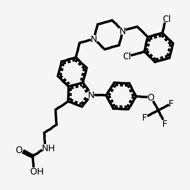 O=C(O)NCCCc1cn(-c2ccc(OC(F)(F)F)cc2)c2cc(CN3CCN(Cc4c(Cl)cccc4Cl)CC3)ccc12